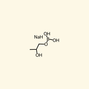 CC(O)COB(O)O.[NaH]